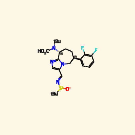 CC(C)(C)N(C(=O)O)[C@@H]1CC[C@@H](c2cccc(F)c2F)Cn2c(C=N[S+]([O-])C(C)(C)C)cnc21